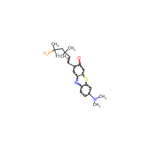 CCC(C)(P)CC(C)(C)/C=C/c1cc2nc3ccc(N(C)C)cc3sc-2cc1=O